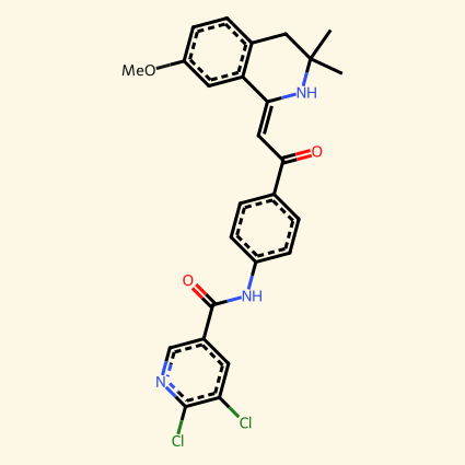 COc1ccc2c(c1)C(=CC(=O)c1ccc(NC(=O)c3cnc(Cl)c(Cl)c3)cc1)NC(C)(C)C2